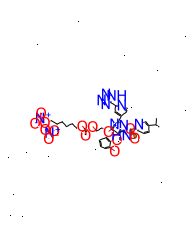 COc1ccccc1Oc1c(NS(=O)(=O)c2ccc(C(C)C)cn2)nc(-c2ccnc(-c3nnn[nH]3)c2)nc1OCCOC(=O)OCCCCC(CO[N+](=O)[O-])O[N+](=O)[O-]